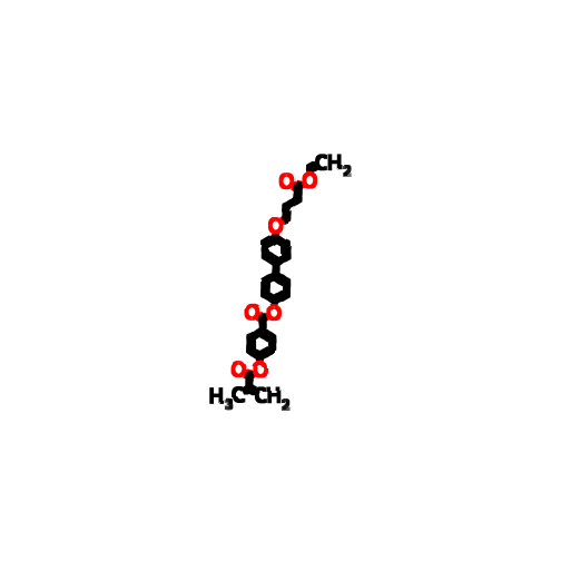 C=COC(=O)CCCOc1ccc(-c2ccc(OC(=O)c3ccc(OC(=O)C(=C)C)cc3)cc2)cc1